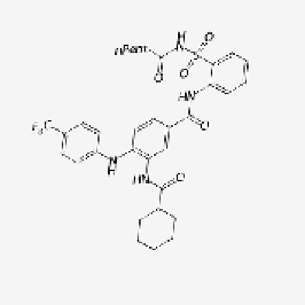 CCCCCC(=O)NS(=O)(=O)c1ccccc1NC(=O)c1ccc(Nc2ccc(C(F)(F)F)cc2)c(NC(=O)C2CCCCC2)c1